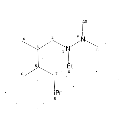 CCN(CC(C)C(C)CC(C)C)N(C)C